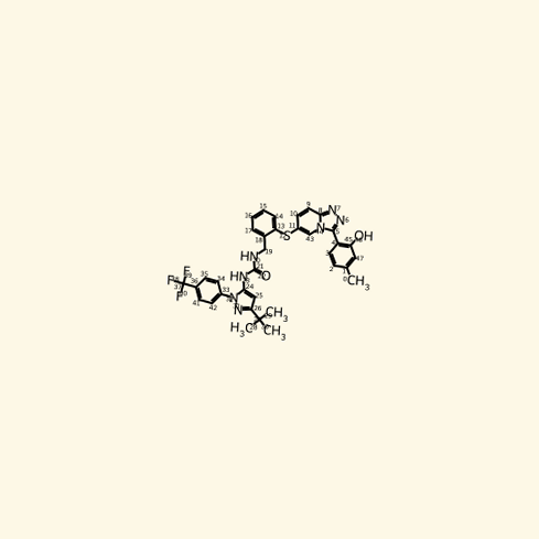 Cc1ccc(-c2nnc3ccc(Sc4ccccc4CNC(=O)Nc4cc(C(C)(C)C)nn4-c4ccc(C(F)(F)F)cc4)cn23)c(O)c1